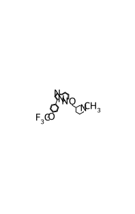 CN1CCCC(COc2ccc3ncc(-c4ccc(OC(F)(F)F)cc4)n3n2)C1